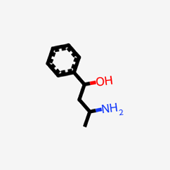 CC(N)CC(O)c1ccccc1